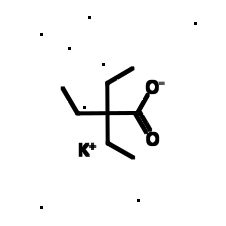 CCC(CC)(CC)C(=O)[O-].[K+]